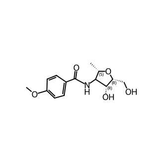 COc1ccc(C(=O)NC2[C@H](C)O[C@H](CO)[C@@H]2O)cc1